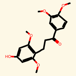 COc1ccc(C(=O)CCc2c(OC)cc(O)cc2OC)cc1OC